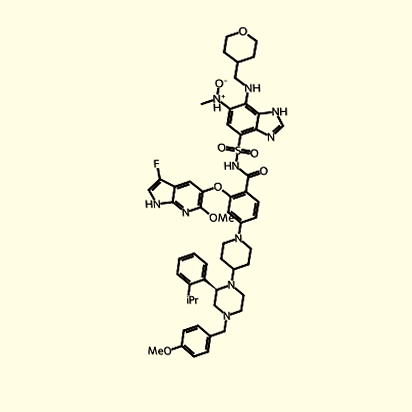 COc1ccc(CN2CCN(C3CCN(c4ccc(C(=O)NS(=O)(=O)c5cc([NH+](C)[O-])c(NCC6CCOCC6)c6[nH]cnc56)c(Oc5cc6c(F)c[nH]c6nc5OC)c4)CC3)[C@H](c3ccccc3C(C)C)C2)cc1